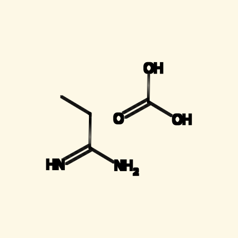 CCC(=N)N.O=C(O)O